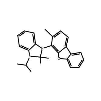 Cc1ccc2c(oc3ccccc32)c1N1c2ccccc2N(C(C)C)C1(C)C